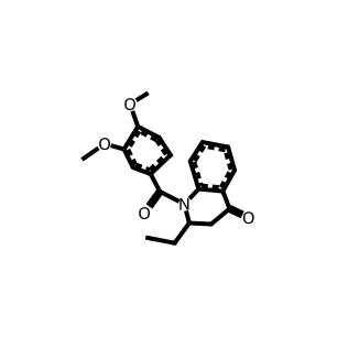 CCC1CC(=O)c2ccccc2N1C(=O)c1ccc(OC)c(OC)c1